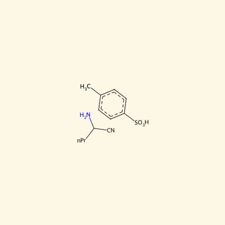 CCCC(N)C#N.Cc1ccc(S(=O)(=O)O)cc1